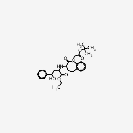 CCOC(=O)C(CC(O)c1ccccc1)NC1CCc2ccccc2N(CC(=O)OC(C)(C)C)C1=O